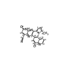 Cc1ncc(-c2nc3[nH]c(=O)cc(C#N)c3nc2-c2cc(Cl)c3ncccc3c2)s1